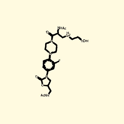 CCCCCCCCCCC[CH2][SnH2][CH2]C(NC(C)=O)C(=O)N1CCN(c2ccc(N3CC(CNC(C)=O)OC3=O)cc2F)CC1